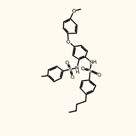 CCCCc1ccc(S(=O)(=O)Nc2ccc(Oc3ccc(OC)cc3)cc2NS(=O)(=O)c2ccc(C)cc2)cc1